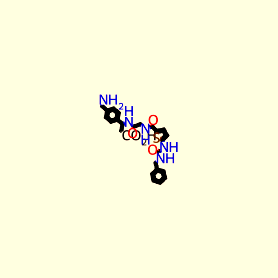 NCc1ccc(C(CC(=O)O)NC(=O)CNC(=O)c2ccc(NC(=O)NCc3ccccc3)s2)cc1